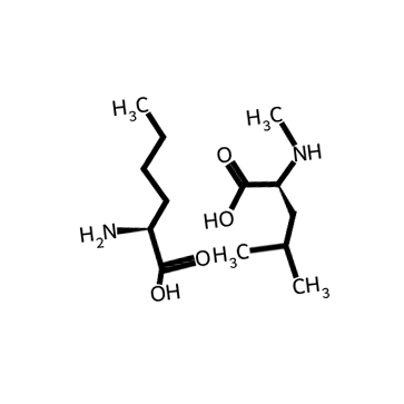 CCCC[C@H](N)C(=O)O.CN[C@@H](CC(C)C)C(=O)O